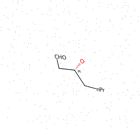 CCCC[C@@H]([O])CC=O